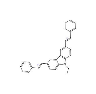 CCn1c2ccc(/C=C/c3ccccc3)cc2c2cc(/C=C/c3ccccc3)ccc21